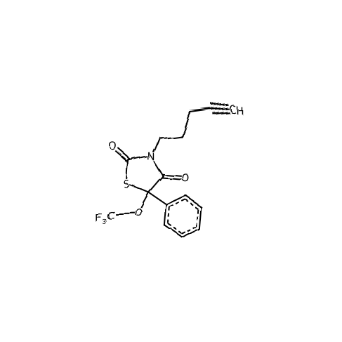 C#CCCCN1C(=O)SC(OC(F)(F)F)(c2ccccc2)C1=O